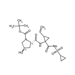 C=CC1CC1(NC(=O)[C@@H]1C[C@@H](O)CN1C(=O)OC(C)(C)C)C(=O)NS(=O)(=O)C1CC1